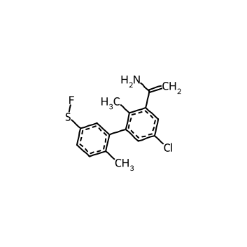 C=C(N)c1cc(Cl)cc(-c2cc(SF)ccc2C)c1C